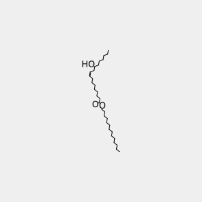 CCCCCCCCCCCCCCOC(=O)CCCCCCC/C=C\C[C@H](O)CCCCCC